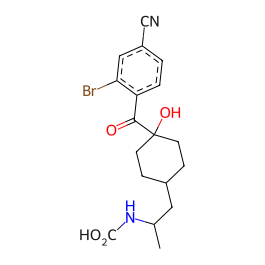 CC(CC1CCC(O)(C(=O)c2ccc(C#N)cc2Br)CC1)NC(=O)O